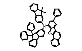 CC1(C)c2ccccc2-c2ccc(N(c3ccc4c(c3)C(c3ccccc3)(c3ccccc3)c3ccccc3-4)c3cc(-c4ccccc4)cc4c3oc3c5ccccc5ccc43)cc21